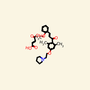 COc1ccccc1/C=C/C(=O)c1c(C)cc(OCCN2CCCCC2)cc1C.O=C(O)/C=C/C(=O)O